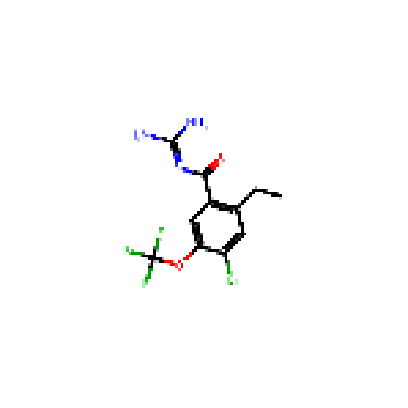 CCc1cc(Br)c(OC(F)(F)F)cc1C(=O)N=C(N)N